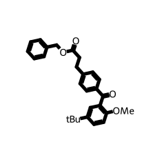 COc1ccc(C(C)(C)C)cc1C(=O)c1ccc(CCC(=O)OCc2ccccc2)cc1